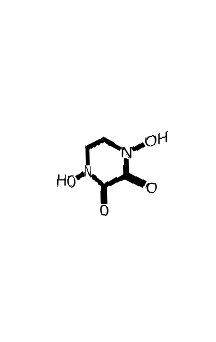 O=C1C(=O)N(O)CCN1O